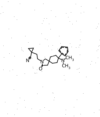 CN(C)C1(c2ccccc2)CCC2(CC1)CC(=O)N(CCC1(C#N)CC1)C2